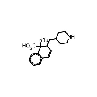 CCCCC1(C(=O)O)c2ccccc2C=CC1CC1CCNCC1